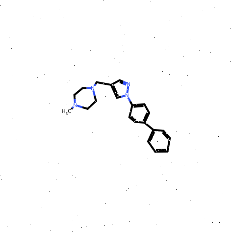 CN1CCN(Cc2cnn(-c3ccc(-c4ccccc4)cc3)c2)CC1